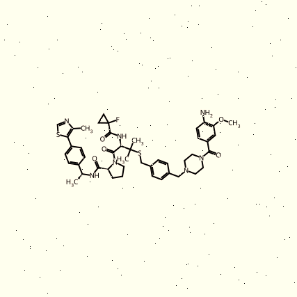 COc1cc(C(=O)N2CCN(Cc3ccc(CSC(C)(C)[C@H](NC(=O)C4(F)CC4)C(=O)N4CCC[C@H]4C(=O)N[C@@H](C)c4ccc(-c5scnc5C)cc4)cc3)CC2)ccc1N